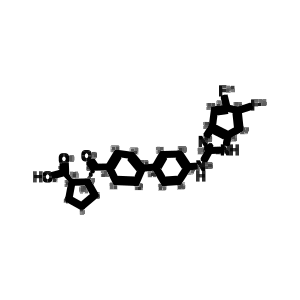 O=C(O)[C@@H]1CCC[C@H]1C(=O)c1ccc(-c2ccc(Nc3nc4cc(F)c(F)cc4[nH]3)cc2)cc1